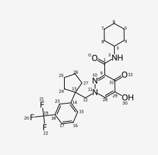 O=C(NC1CCCCC1)c1nn(CC2(c3cccc(C(F)(F)F)c3)CCCC2)cc(O)c1=O